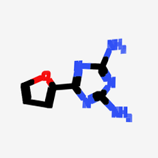 Nc1nc(N)nc(-c2ccco2)n1